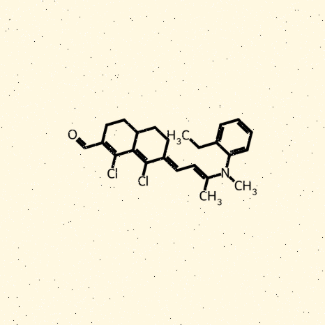 CCc1ccccc1N(C)/C(C)=C/C=C1\CCC2CCC(C=O)=C(Cl)C2=C1Cl